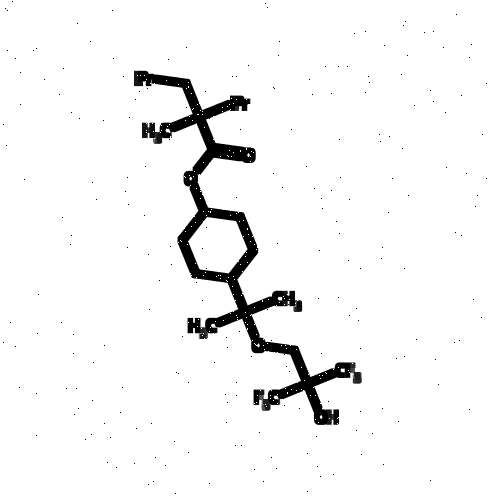 CC(C)CC(C)(C(=O)OC1CCC(C(C)(C)OCC(O)(C(F)(F)F)C(F)(F)F)CC1)C(C)C